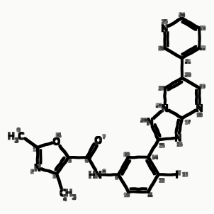 Cc1nc(C)c(C(=O)Nc2ccc(F)c(-c3nc4ncc(-c5cccnc5)cn4n3)c2)o1